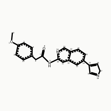 COc1ccc(CC(=O)Nc2cc3cc(C4=CCN=C4)ccc3cn2)cc1